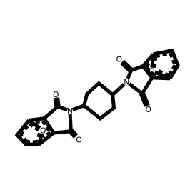 O=C1c2c(c3ccc2o3)C(=O)N1C1CCC(N2C(=O)c3c(c4ccc3o4)C2=O)CC1